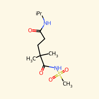 CC(C)NC(=O)CCC(C)(C)C(=O)NS(C)(=O)=O